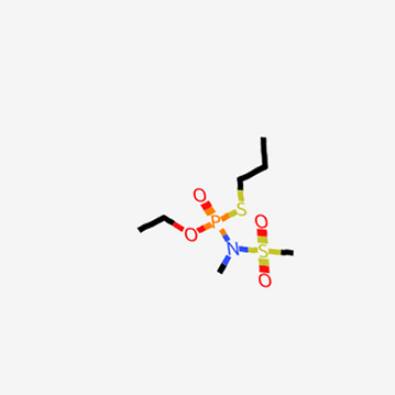 CCCSP(=O)(OCC)N(C)S(C)(=O)=O